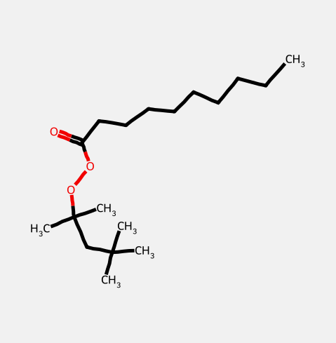 CCCCCCCCCC(=O)OOC(C)(C)CC(C)(C)C